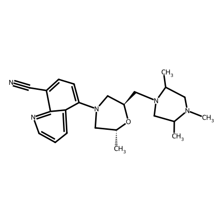 CC1CN(C[C@@H]2CN(c3ccc(C#N)c4ncccc34)C[C@@H](C)O2)C(C)CN1C